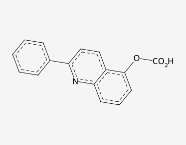 O=C(O)Oc1cccc2nc(-c3ccccc3)ccc12